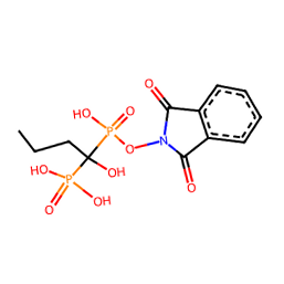 CCCC(O)(P(=O)(O)O)P(=O)(O)ON1C(=O)c2ccccc2C1=O